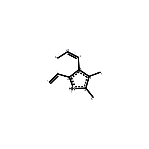 C=Cc1[nH]c(C)c(C)c1/C=C\C